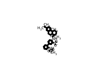 CC(C)c1ccc2c(c1)CC[C@H]1[C@@](C)(CNc3ccc(-c4ccccc4NS(C)(=O)=O)cc3[N+](=O)[O-])CCC[C@]21C